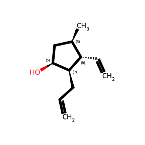 C=CC[C@@H]1[C@@H](C=C)[C@H](C)C[C@@H]1O